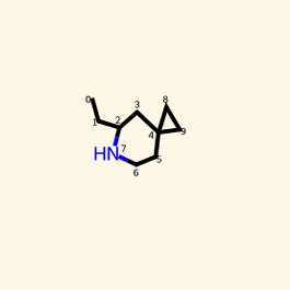 CCC1CC2(CCN1)CC2